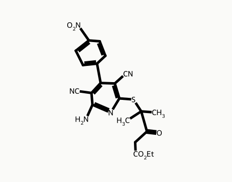 CCOC(=O)CC(=O)C(C)(C)Sc1nc(N)c(C#N)c(-c2ccc([N+](=O)[O-])cc2)c1C#N